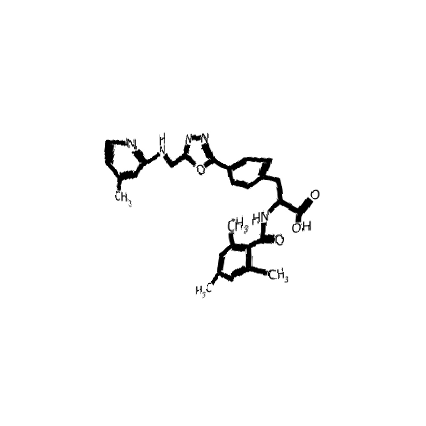 Cc1ccnc(NCc2nnc(-c3ccc(CC(NC(=O)c4c(C)cc(C)cc4C)C(=O)O)cc3)o2)c1